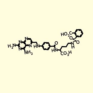 Nc1nc(N)c2nc(CNc3ccc(C(=O)NC(CCCNS(=O)(=O)c4ccccc4C(=O)O)C(=O)O)cc3)cnc2n1